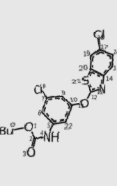 CC(C)(C)OC(=O)Nc1cc(Cl)cc(Oc2nc3ccc(Cl)cc3s2)c1